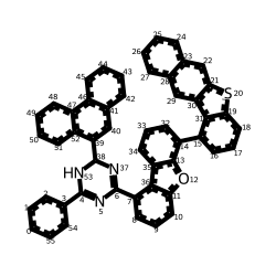 c1ccc(C2=NC(c3cccc4oc5c(-c6cccc7sc8cc9ccccc9cc8c67)cccc5c34)=NC(c3cc4ccccc4c4ccccc34)N2)cc1